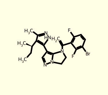 C=C(c1c(F)ccc(Br)c1F)N1CCn2ncc(-c3[nH]nc(C)c3[C@H](C)CC)c21